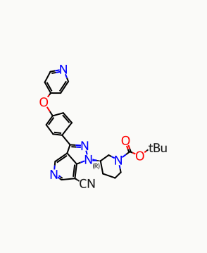 CC(C)(C)OC(=O)N1CCC[C@@H](n2nc(-c3ccc(Oc4ccncc4)cc3)c3cncc(C#N)c32)C1